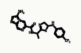 CC(NC(=O)c1cn2c(N)cnc2cn1)C1=NCC(Nc2ccc(C(F)(F)F)cc2)S1